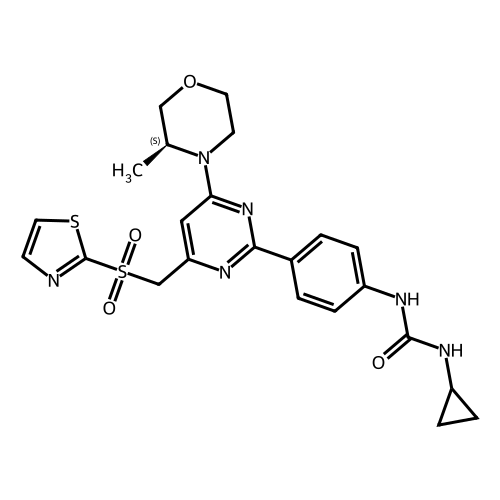 C[C@H]1COCCN1c1cc(CS(=O)(=O)c2nccs2)nc(-c2ccc(NC(=O)NC3CC3)cc2)n1